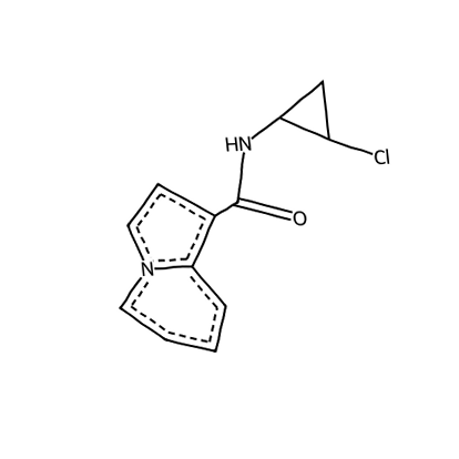 O=C(NC1CC1Cl)c1ccn2ccccc12